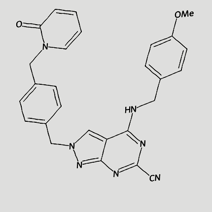 COc1ccc(CNc2nc(C#N)nc3nn(Cc4ccc(Cn5ccccc5=O)cc4)cc23)cc1